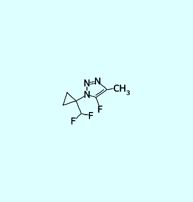 Cc1nnn(C2(C(F)F)CC2)c1F